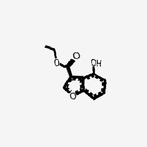 CCOC(=O)c1coc2cccc(O)c12